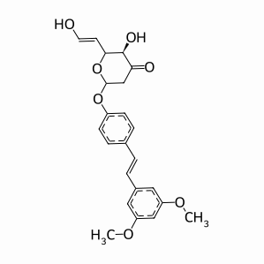 COc1cc(/C=C/c2ccc(OC3CC(=O)[C@H](O)C(C=CO)O3)cc2)cc(OC)c1